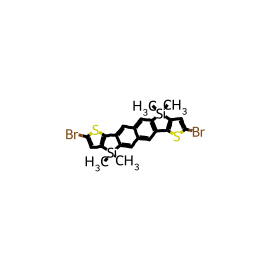 C[Si]1(C)c2cc3cc4c(cc3cc2-c2sc(Br)cc21)[Si](C)(C)c1cc(Br)sc1-4